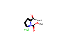 COC(=O)C1=CCCN1C(=O)OC(C)(C)C.Cl